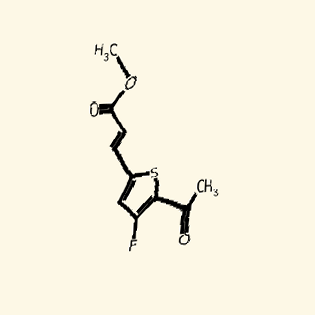 COC(=O)C=Cc1cc(F)c(C(C)=O)s1